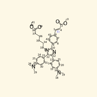 COC(=O)/C=C/c1ccc(-c2nc(-c3ccc(N(C)C)cc3)c(-c3ccc(N(C)C)cc3)n2CCCCCC(=O)OC)cc1